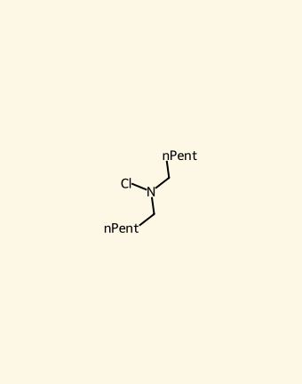 CCCCCCN(Cl)CCCCCC